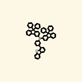 c1ccc(C2(c3ccccc3)c3ccccc3-c3cc(N(c4cccc(-c5cccc6c5oc5ccccc56)c4)c4ccc5c(c4)C(c4ccccc4)(c4ccccc4)c4ccccc4-5)ccc32)cc1